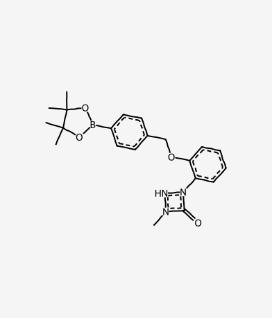 Cn1[nH]n(-c2ccccc2OCc2ccc(B3OC(C)(C)C(C)(C)O3)cc2)c1=O